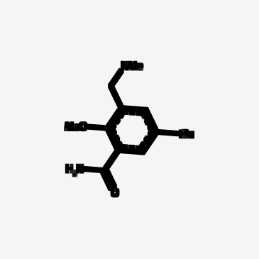 CNCc1cc(C(C)(C)C)cc(C(N)=O)c1OC